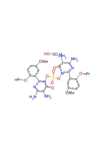 CCCOc1ccc(OC)cc1-c1nc(N)c(N)c(=O)n1OS(=O)(=O)On1c(-c2cc(OC)ccc2OCCC)nc(N)c(N)c1=O.O=S(=O)(O)O